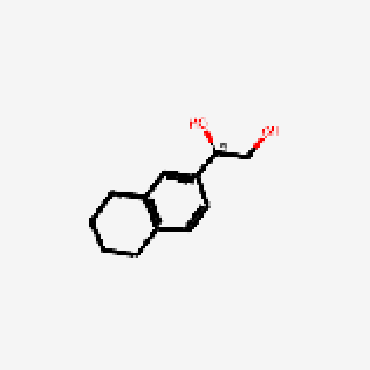 OC[C@H](O)c1ccc2c(c1)CCCC2